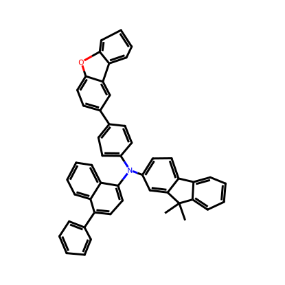 CC1(C)c2ccccc2-c2ccc(N(c3ccc(-c4ccc5oc6ccccc6c5c4)cc3)c3ccc(-c4ccccc4)c4ccccc34)cc21